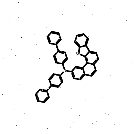 c1ccc(-c2ccc(N(c3ccc(-c4ccccc4)cc3)c3ccc4ccc5ccc6c7ccccc7[se]c6c5c4c3)cc2)cc1